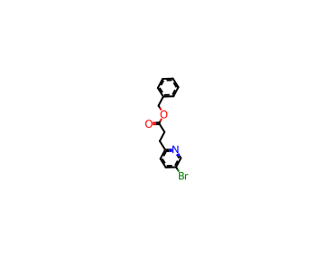 O=C(CCc1ccc(Br)cn1)OCc1ccccc1